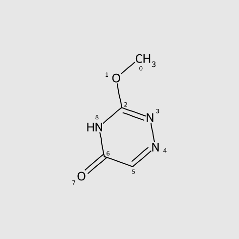 COc1nncc(=O)[nH]1